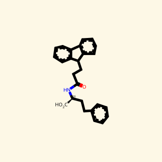 O=C(CCC1c2ccccc2-c2ccccc21)N[C@@H](CCc1ccccc1)C(=O)O